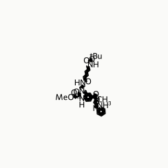 COC(=O)C[C@@H]1Nc2ccc(C(=O)N(C)Cc3nc4ccccc4[nH]3)cc2CN(CCNC(=O)CCCCCNC(=O)OC(C)(C)C)C1=O